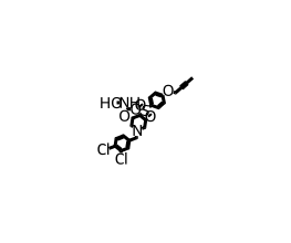 CC#CCOc1ccc(S(=O)(=O)C2(OC(=O)NO)CCN(Cc3ccc(Cl)c(Cl)c3)CC2)cc1